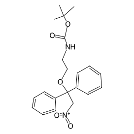 CC(C)(C)OC(=O)NCCOC(C[N+](=O)[O-])(c1ccccc1)c1ccccc1